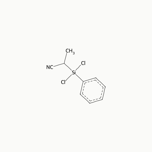 CC(C#N)[Si](Cl)(Cl)c1ccccc1